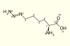 NN=NCCCC[C@H](N)C(=O)O